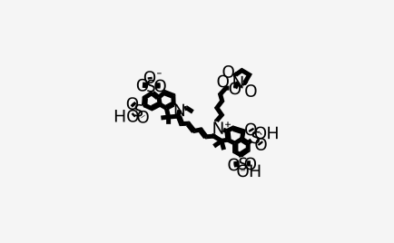 CCN1C(=CC=CC=CC2=[N+](CCCCCC(=O)ON3C(=O)CCC3=O)c3ccc4c(S(=O)(=O)O)cc(S(=O)(=O)O)cc4c3C2(C)C)C(C)(C)c2c1ccc1c(S(=O)(=O)[O-])cc(S(=O)(=O)O)cc21